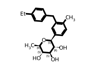 CCc1ccc(Cc2cc([C@@H]3O[C@H](C)[C@@H](O)[C@H](O)[C@H]3O)ccc2C)cc1